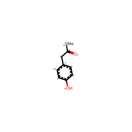 CSC(=O)Cc1ccc(O)cc1